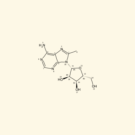 Cc1nc2c(N)ncnc2n1[C@@H]1O[C@H](CO)[C@@H](O)[C@H]1O